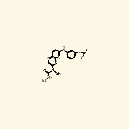 CCNC(=O)N(S)c1cnc2ccc(Nc3cccc(OC(F)F)c3)nc2n1